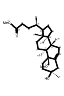 COC[C@]12CC[C@](C)(O)CC1=CC[C@@H]1[C@@H]2CC[C@]2(C)C([C@H](C)CCC(=O)OC)CC[C@@H]12